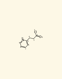 O=C(Cl)CCc1ccccn1